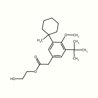 COc1c(C(C)(C)C)cc(CC(=O)OCCO)cc1C1(C)CCCCC1